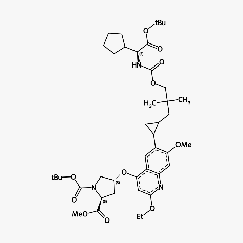 CCOc1cc(O[C@@H]2C[C@@H](C(=O)OC)N(C(=O)OC(C)(C)C)C2)c2cc(C3CC3CC(C)(C)COC(=O)N[C@H](C(=O)OC(C)(C)C)C3CCCC3)c(OC)cc2n1